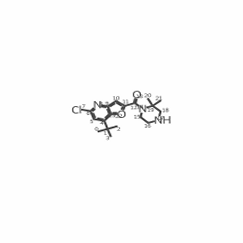 CC(C)(C)c1cc(Cl)nc2cc(C(=O)N3CCNCC3(C)C)oc12